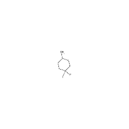 CC1CCC(F)(I)CC1